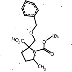 CC1CCC(COCc2ccccc2)(C(=O)O)N1C(=O)OC(C)(C)C